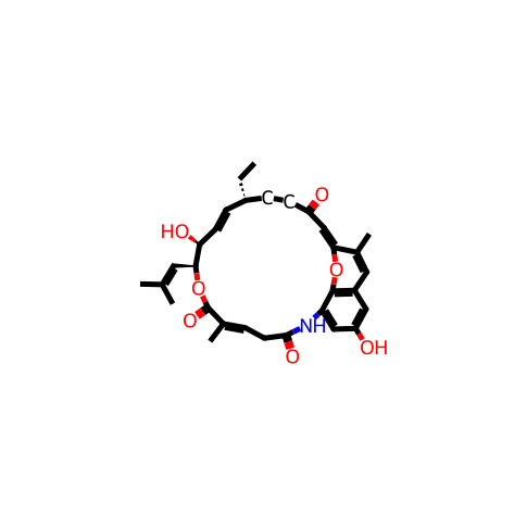 CC[C@H]1/C=C/[C@H](O)[C@H](C=C(C)C)OC(=O)/C(C)=C/CC(=O)Nc2cc(O)cc3c2O/C(=C\C(=O)CC1)C(C)=C3